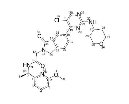 COc1cccc([C@@H](C)NC(=O)CN2Cc3ccc(-c4nc(NC5CCOCC5)ncc4Cl)cc3C2=O)n1